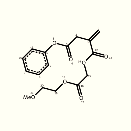 C=C(CC(=O)Oc1ccccc1)C(=O)OCC(=O)OCCOC